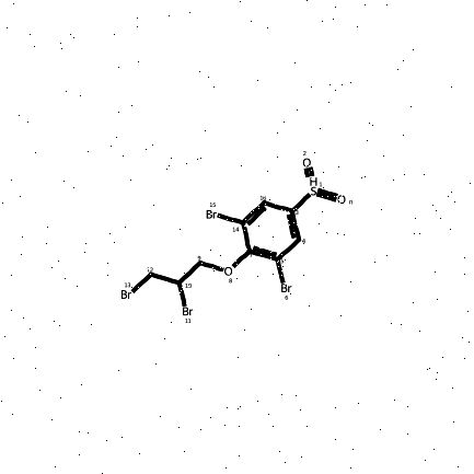 O=[SH](=O)c1cc(Br)c(OCC(Br)CBr)c(Br)c1